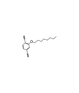 C#Cc1ccc(C#C)c(OCCCCCCCC)c1